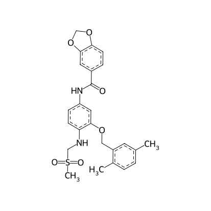 Cc1ccc(C)c(COc2cc(NC(=O)c3ccc4c(c3)OCO4)ccc2NCS(C)(=O)=O)c1